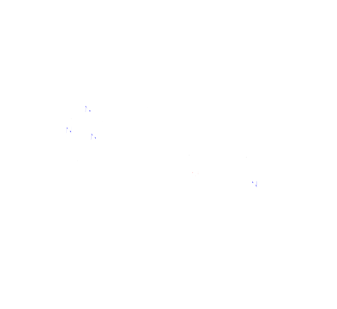 C1=CC2C(CC1)c1ccccc1N2c1ccc2c(c1)oc1ccc(-c3cccc4oc5cc(C6=NC(c7ccccc7)NC(c7ccccc7)=N6)ccc5c34)cc12